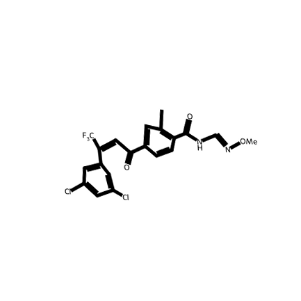 CON=CNC(=O)c1ccc(C(=O)C=C(c2cc(Cl)cc(Cl)c2)C(F)(F)F)cc1C